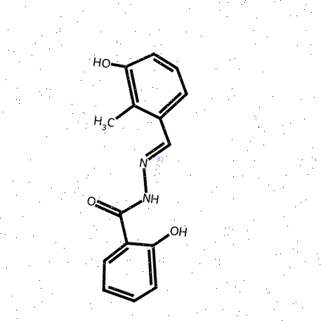 Cc1c(O)cccc1/C=N/NC(=O)c1ccccc1O